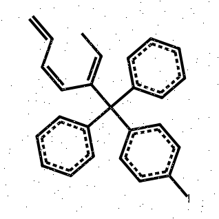 C=C/C=C\C(=C/C)C(c1ccccc1)(c1ccccc1)c1ccc(I)cc1